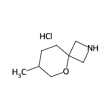 CC1CCC2(CNC2)OC1.Cl